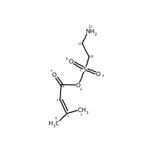 CC(C)=CC(=O)OS(=O)(=O)CCN